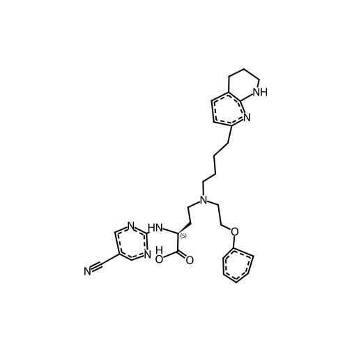 N#Cc1cnc(N[C@@H](CCN(CCCCc2ccc3c(n2)NCCC3)CCOc2ccccc2)C(=O)O)nc1